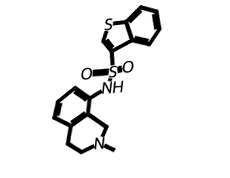 CN1CCc2cccc(NS(=O)(=O)c3csc4ccccc34)c2C1